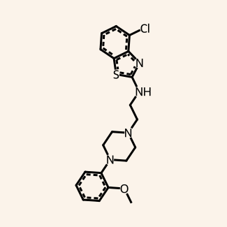 COc1ccccc1N1CCN(CCNc2nc3c(Cl)cccc3s2)CC1